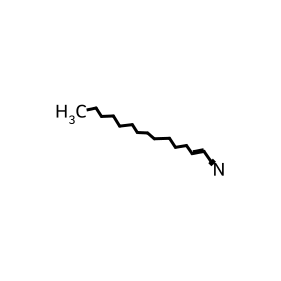 CCCCCCCCCCCCC=CC#N